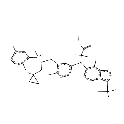 COC(=O)C(C)(C)C(c1cc(CN2CC3(CC3)Oc3ncc(C)cc3S2(O)O)c(C)cn1)c1ccn2c(C(F)(F)F)nnc2c1C